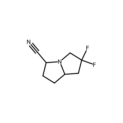 N#CC1CCC2CC(F)(F)CN12